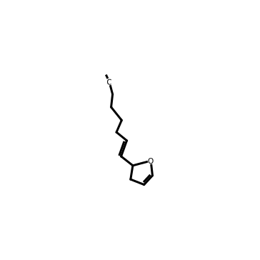 CCCCCCC=CC1CC=CO1